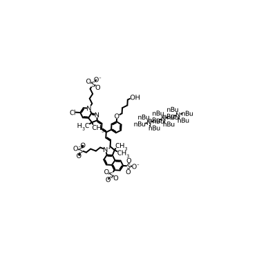 CC1(C)C2=CC(Cl)=CN(CCCCS(=O)(=O)[O-])C2=N/C1=C/C=C(/C=C/C1=[N+](CCCCS(=O)(=O)[O-])c2ccc3c(S(=O)(=O)[O-])cc(S(=O)(=O)[O-])cc3c2C1(C)C)c1cccc(OCCCCO)c1.CCCC[N+](CCCC)(CCCC)CCCC.CCCC[N+](CCCC)(CCCC)CCCC.CCCC[N+](CCCC)(CCCC)CCCC